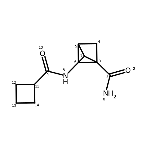 NC(=O)C12CC(C1)C2NC(=O)C1CCC1